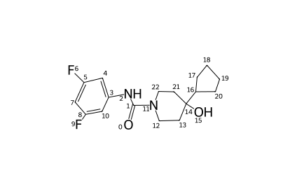 O=C(Nc1cc(F)cc(F)c1)N1CCC(O)(C2CCCC2)CC1